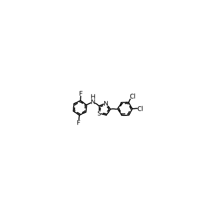 Fc1ccc(F)c(Nc2nc(-c3ccc(Cl)c(Cl)c3)cs2)c1